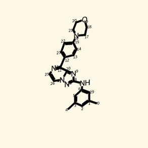 Cc1cc(C)cc(Nc2nc3c(-c4ccc(N5CCOCC5)cc4)nccn3n2)c1